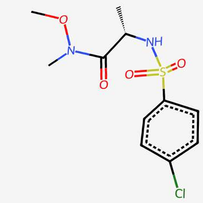 CON(C)C(=O)[C@H](C)NS(=O)(=O)c1ccc(Cl)cc1